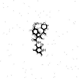 Cc1cc(C)c(CNC(=O)c2c(C)n(C(C)C3CCOCC3)c3cc(OC(C)C)ccc23)c(=O)[nH]1